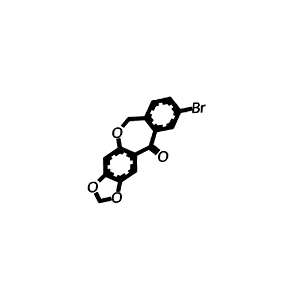 O=C1c2cc(Br)ccc2COc2cc3c(cc21)OCO3